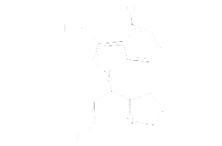 O=C(O)c1cn(C(CCF)C2CCCN2)c2cccc(Cl)c12